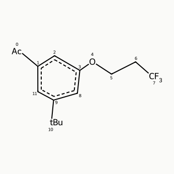 CC(=O)c1cc(OCCC(F)(F)F)cc(C(C)(C)C)c1